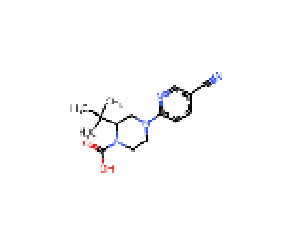 CC(C)(C)C1CN(c2ccc(C#N)cn2)CCN1C(=O)O